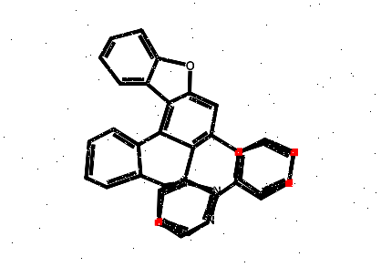 c1ccc(-c2ccccc2-c2c(-c3ccccc3)cc3oc4ccccc4c3c2-c2ccccc2-c2ccnnn2)cc1